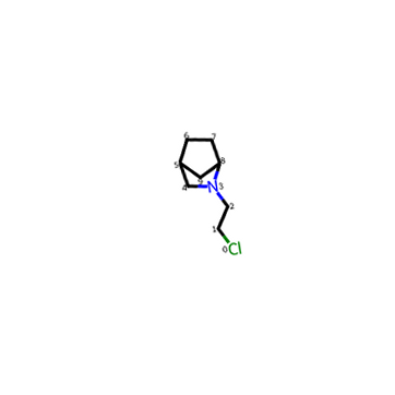 ClCCN1CC2CCC1C2